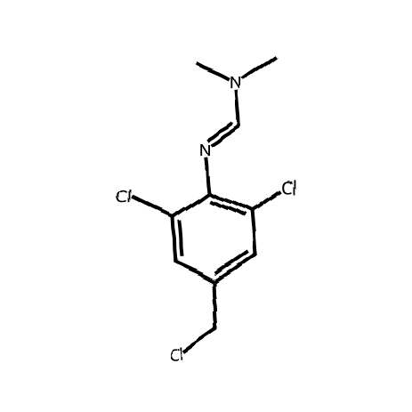 CN(C)/C=N/c1c(Cl)cc(CCl)cc1Cl